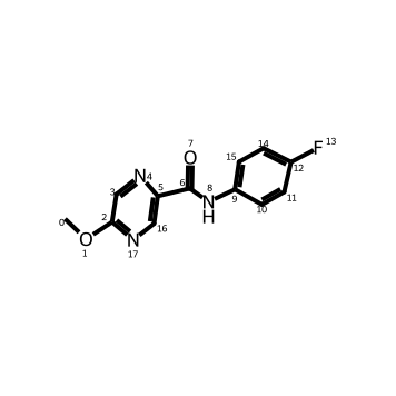 COc1cnc(C(=O)Nc2ccc(F)cc2)cn1